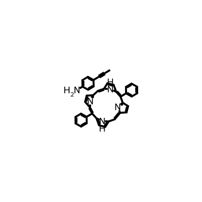 C1=Cc2nc1cc1ccc([nH]1)c(-c1ccccc1)c1nc(cc3ccc([nH]3)c2-c2ccccc2)C=C1.CC#Cc1ccc(N)cc1